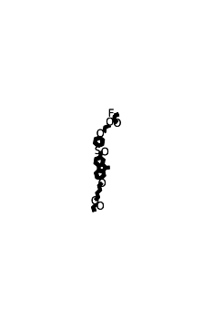 C=CC(=O)OCCCCOc1ccc2c(c1)C(C)c1cc(C(=O)Sc3ccc(OCCCOC(=O)C(=C)F)cc3)ccc1-2